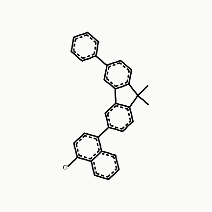 CC1(C)c2ccc(-c3ccccc3)cc2-c2cc(-c3ccc(Cl)c4ccccc34)ccc21